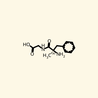 C[C@@](N)(Cc1ccccc1)C(=O)NCC(=O)O